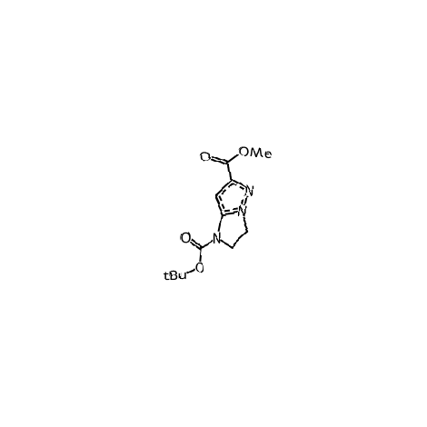 COC(=O)c1cc2n(n1)CCN2C(=O)OC(C)(C)C